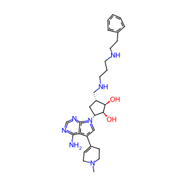 CN1CC=C(c2cn([C@@H]3C[C@H](CNCCCNCCc4ccccc4)[C@@H](O)[C@H]3O)c3ncnc(N)c23)CC1